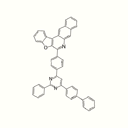 c1ccc(-c2ccc(-c3cc(-c4ccc(-c5nc6cc7ccccc7cc6c6c5oc5ccccc56)cc4)nc(-c4ccccc4)n3)cc2)cc1